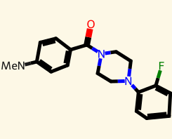 CNc1ccc(C(=O)N2CCN(c3ccccc3F)CC2)cc1